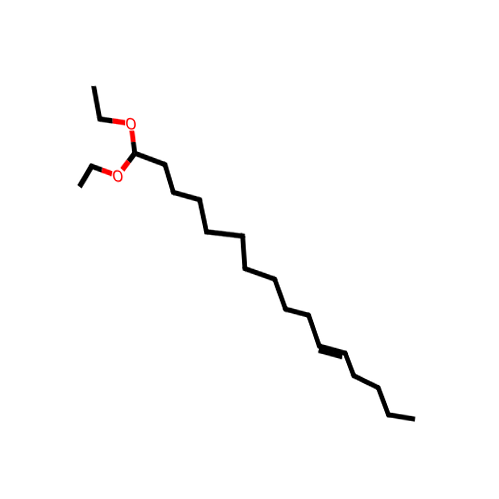 CCCCC=CCCCCCCCCCC(OCC)OCC